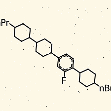 CCCCC1CCC(c2ccc(C3CCC(C4CCC(CCC)CC4)CC3)cc2F)CC1